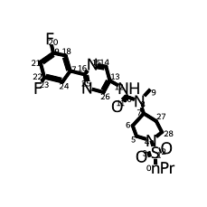 CCCS(=O)(=O)N1CCC(N(C)C(=O)Nc2cnc(-c3cc(F)cc(F)c3)nc2)CC1